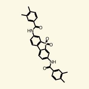 Cc1ccc(C(=O)Nc2ccc3c(c2)S(=O)(=O)c2cc(NC(=O)c4ccc(C)c(C)c4)ccc2-3)cc1C